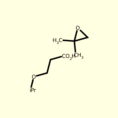 CC(C)OCCC(=O)O.CC1(C)CO1